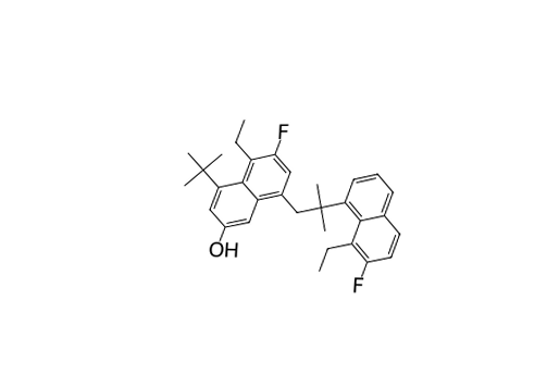 CCc1c(F)ccc2cccc(C(C)(C)Cc3cc(F)c(CC)c4c(C(C)(C)C)cc(O)cc34)c12